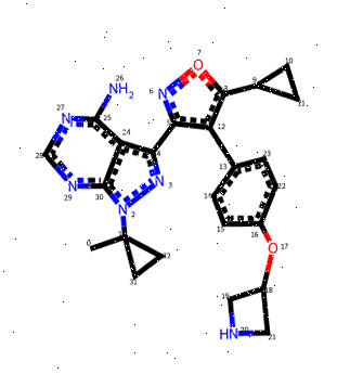 CC1(n2nc(-c3noc(C4CC4)c3-c3ccc(OC4CNC4)cc3)c3c(N)ncnc32)CC1